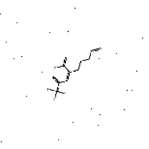 C=C(F)/C(=C\C(=C)C(F)(F)F)CCCC=O